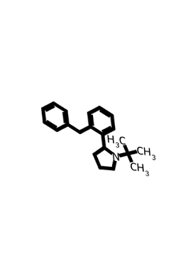 CC(C)(C)N1CCCC1c1ccccc1Cc1ccccc1